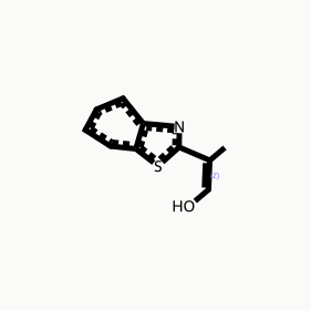 C/C(=C/O)c1nc2ccccc2s1